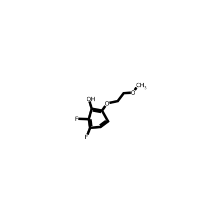 COCCOc1ccc(F)c(F)c1O